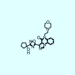 O=c1c2c(-c3nc(C4(O)CCCC4)no3)ncn2c2ccccc2n1CCN1CCOCC1